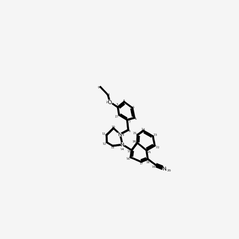 CCOc1cccc(CN2CCCCN2c2ccc(C#N)c3ccccc23)c1